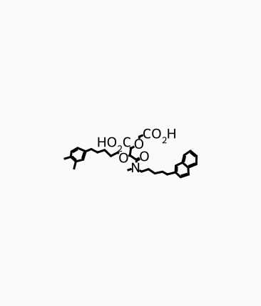 Cc1ccc(CCCCCOC(C(=O)N(C)CCCCCc2ccc3ccccc3c2)C(OCC(=O)O)C(=O)O)cc1C